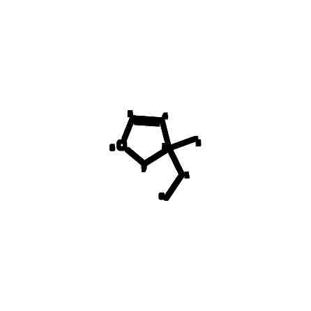 CCC1(C)C=COC1